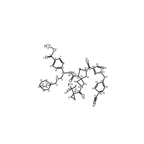 COC(=O)c1ccc([C@H](COCC23CCC(CC2)OC3)NC(=O)C2CN(C(=O)c3cnn(Cc4ccc(C#N)cc4)c3)CC23CN(C(=O)C2(C(F)(F)F)CC2)C3)cc1